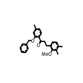 COc1c(CCC(=O)c2ccc(C)cc2OCc2ccccc2)ccc(C)c1C